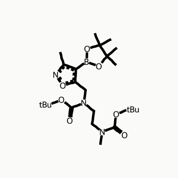 Cc1noc(CN(CCN(C)C(=O)OC(C)(C)C)C(=O)OC(C)(C)C)c1B1OC(C)(C)C(C)(C)O1